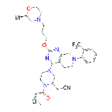 C=CC(=O)N1CCN(c2nc(OCCCN3CCO[C@H](CC)C3)nc3c2CCN(c2ccccc2C(F)(F)F)C3)CC1CC#N